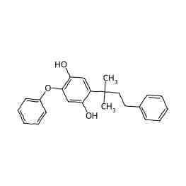 CC(C)(CCc1ccccc1)c1cc(O)c(Oc2ccccc2)cc1O